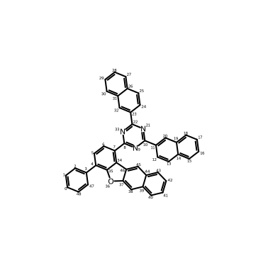 c1ccc(-c2ccc(-c3nc(-c4ccc5ccccc5c4)nc(-c4ccc5ccccc5c4)n3)c3c2oc2cc4ccccc4cc23)cc1